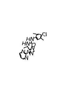 Cc1cc(NC(=O)NC(C)c2ncnn2-c2ncccn2)c(C)cc1Cl